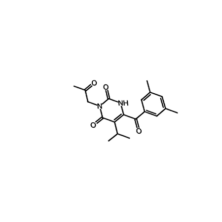 CC(=O)Cn1c(=O)[nH]c(C(=O)c2cc(C)cc(C)c2)c(C(C)C)c1=O